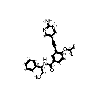 Nc1ncc(C#Cc2cc(C(=O)NC(CO)c3ccccc3)ccc2OC(F)F)cn1